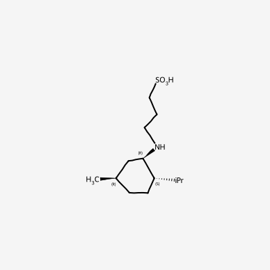 CC(C)[C@@H]1CC[C@@H](C)C[C@H]1NCCCS(=O)(=O)O